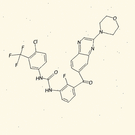 O=C(Nc1ccc(Cl)c(C(F)(F)F)c1)Nc1cccc(C(=O)c2ccc3ncc(N4CCOCC4)nc3c2)c1F